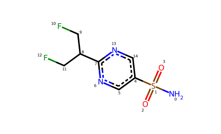 NS(=O)(=O)c1cnc(C(CF)CF)nc1